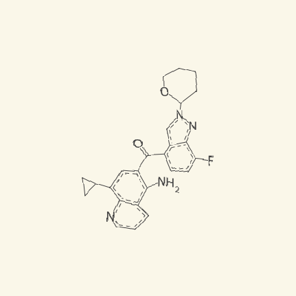 Nc1c(C(=O)c2ccc(F)c3nn(C4CCCCO4)cc23)cc(C2CC2)c2ncccc12